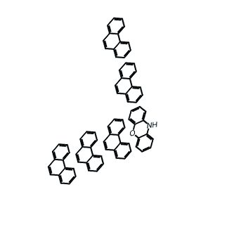 c1ccc2c(c1)Nc1ccccc1O2.c1ccc2c(c1)ccc1ccccc12.c1ccc2c(c1)ccc1ccccc12.c1ccc2c(c1)ccc1ccccc12.c1ccc2c(c1)ccc1ccccc12.c1ccc2c(c1)ccc1ccccc12